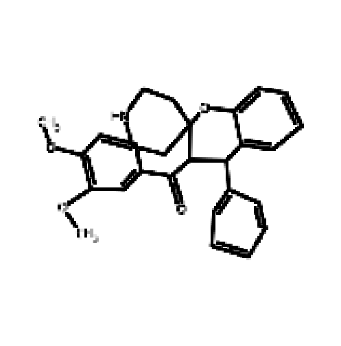 COc1ccc(C(=O)C2C(c3ccccc3)c3ccccc3OC23CCNCC3)cc1OC